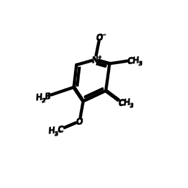 Bc1c[n+]([O-])c(C)c(C)c1OC